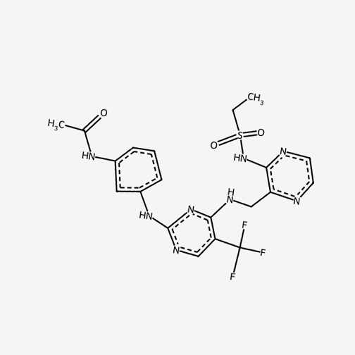 CCS(=O)(=O)Nc1nccnc1CNc1nc(Nc2cccc(NC(C)=O)c2)ncc1C(F)(F)F